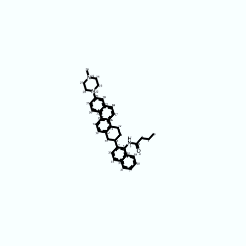 CCCC(=O)Nc1c(C2CCc3c(ccc4c3ccc3cc(N5CCN(C)CC5)ccc34)C2)ccc2ccccc12